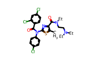 CCN(CC)CCN(CC)C(=O)c1nc(N(C(=O)c2ccc(Cl)cc2Cl)c2ccc(Cl)cc2)sc1C